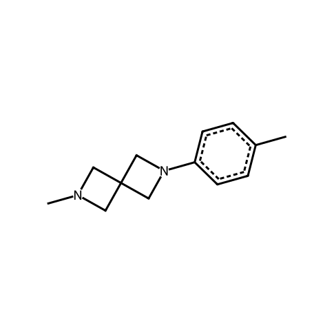 Cc1ccc(N2CC3(CN(C)C3)C2)cc1